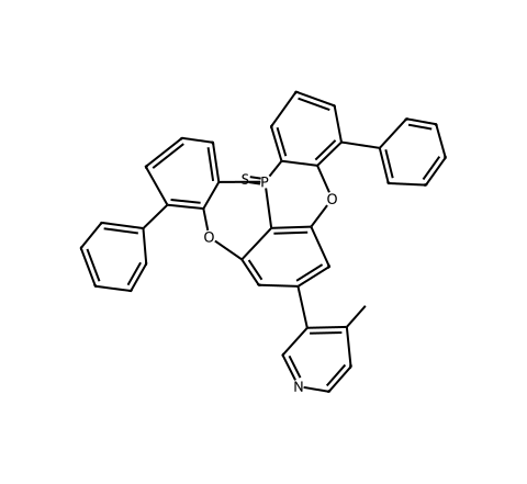 Cc1ccncc1-c1cc2c3c(c1)Oc1c(-c4ccccc4)cccc1P3(=S)c1cccc(-c3ccccc3)c1O2